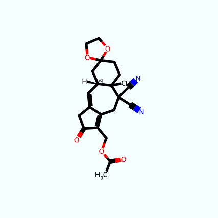 CC(=O)OCC1=C2CC(C#N)(C#N)C3(C)CCC4(C[C@H]3C=C2CC1=O)OCCO4